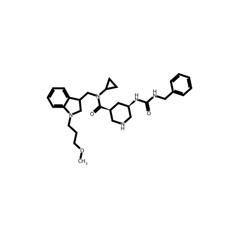 COCCCN1CC(CN(C(=O)[C@@H]2CNC[C@H](NC(=O)NCc3ccccc3)C2)C2CC2)c2ccccc21